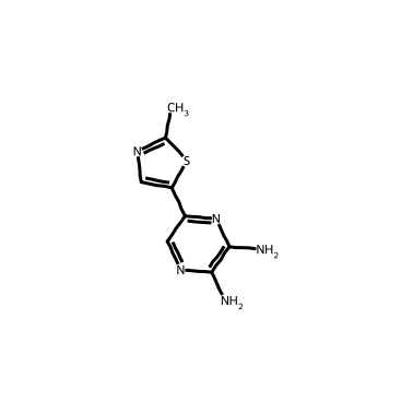 Cc1ncc(-c2cnc(N)c(N)n2)s1